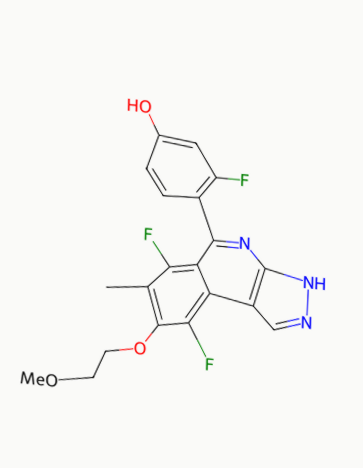 COCCOc1c(C)c(F)c2c(-c3ccc(O)cc3F)nc3[nH]ncc3c2c1F